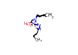 C=CCCN1CC(O)[N+]([O-])(c2nnc(CCC)s2)C1